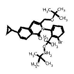 CC(C)(C)OCc1cc2cc(C3CC3)ccc2c(=O)n1-c1cccc(Br)c1C(C)(C)O[SiH2]C(C)(C)C